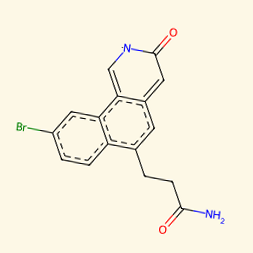 NC(=O)CCc1cc2c(c3cc(Br)ccc13)=C[N]C(=O)C=2